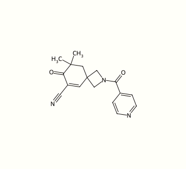 CC1(C)CC2(C=C(C#N)C1=O)CN(C(=O)c1ccncc1)C2